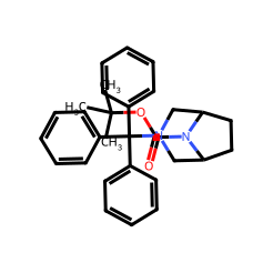 CC(C)(C)OC(=O)N1C2CCC1CN(C(c1ccccc1)(c1ccccc1)c1ccccc1)C2